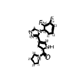 O=C(c1cc(-c2nncn2-c2cccc(F)c2F)c[nH]1)N1CCCC1